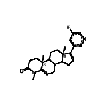 CN1C(=O)CC[C@@]2(C)C1=CCC1C2CC[C@]2(C)C(c3cncc(F)c3)=CCC12